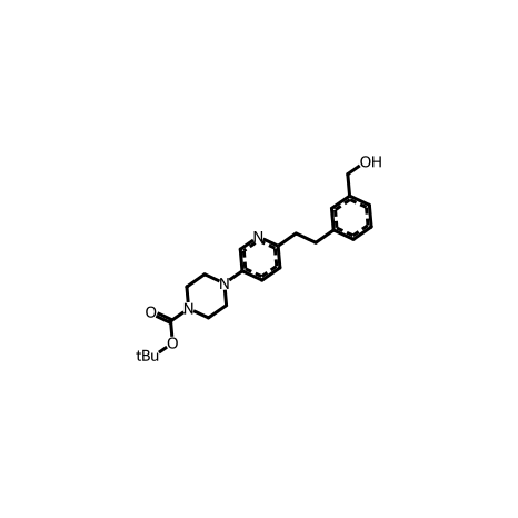 CC(C)(C)OC(=O)N1CCN(c2ccc(CCc3cccc(CO)c3)nc2)CC1